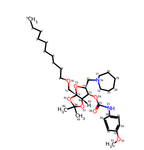 CCCCCCCCCCOC[C@@]12O[C@@H](CN3CCCCCC3)[C@@H](OC(=O)Nc3ccc(OC)cc3)[C@@H]1OC(C)(C)O2